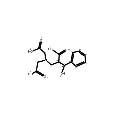 O=C(O)CN(CC(=O)O)CC(C(=O)O)C(O)c1ccccc1